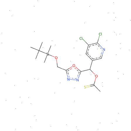 CC(=S)OC(c1cnc(Cl)c(Cl)c1)c1nnc(CO[Si](C)(C)C(C)(C)C)o1